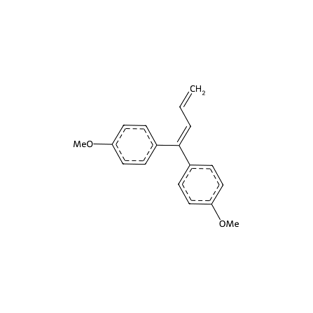 C=CC=C(c1ccc(OC)cc1)c1ccc(OC)cc1